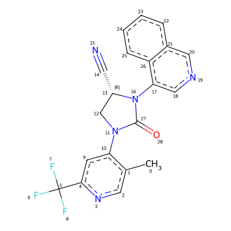 Cc1cnc(C(F)(F)F)cc1N1C[C@H](C#N)N(c2cncc3ccccc23)C1=O